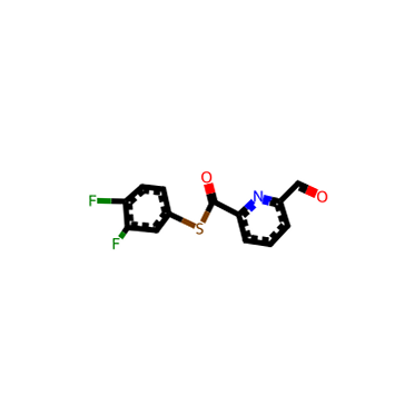 O=Cc1cccc(C(=O)Sc2ccc(F)c(F)c2)n1